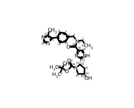 CCN(Cc1ccc(-c2scnc2C)cc1)C(=O)c1c[nH]c([C@@H]2C[C@@H](O)CN2C(=O)OC(C)(C)C)n1